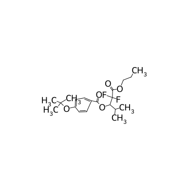 CCCOC(=O)C(F)(F)C(OC(=O)c1ccc(OC(C)(C)C)cc1)C(C)C